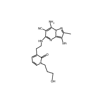 CCCc1c(C)nn2c(N)c(C#N)c(NCCc3cccn(CCCO)c3=O)nc12